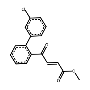 COC(=O)/C=C/C(=O)c1ccccc1-c1cccc(Cl)c1